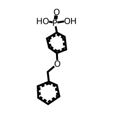 O=P(O)(O)c1ccc(OCc2ccccc2)cc1